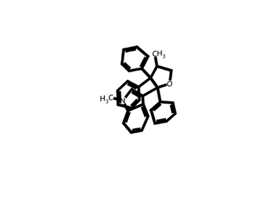 CC1COC(c2ccccc2)(c2cn(C)c3ccccc23)C1(c1ccccc1)c1ccccc1